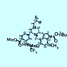 CCCCOC(=O)n1ccc2c(CN3CCN(CC(F)F)C[C@H]3c3ccc(C(=O)OC)c(NCC(F)(F)F)c3)c(OC)cc(C)c21